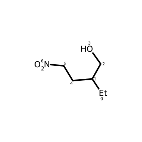 CCC(CO)CC[N+](=O)[O-]